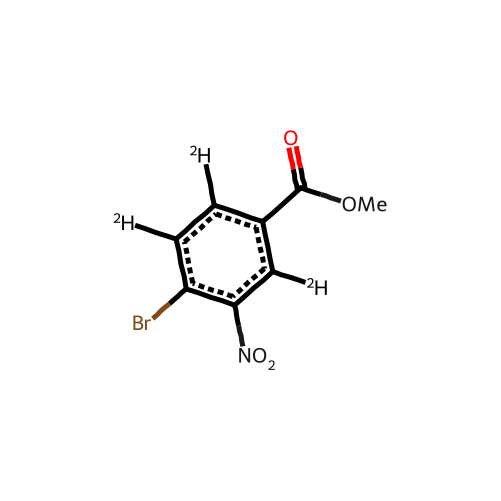 [2H]c1c([2H])c(C(=O)OC)c([2H])c([N+](=O)[O-])c1Br